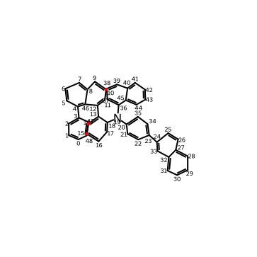 c1ccc(-c2cccc3cccc(-c4ccccc4N(c4ccc(-c5ccc6ccccc6c5)cc4)c4cccc5ccccc45)c23)cc1